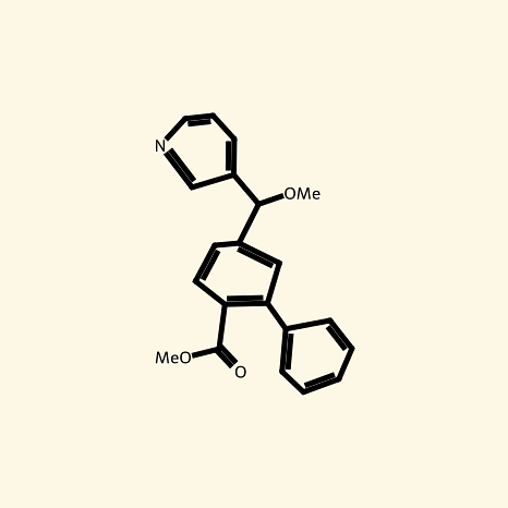 COC(=O)c1ccc(C(OC)c2cccnc2)cc1-c1ccccc1